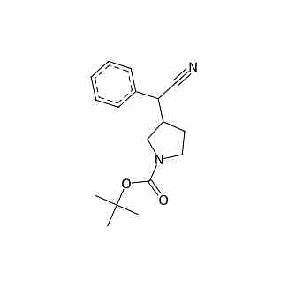 CC(C)(C)OC(=O)N1CCC(C(C#N)c2ccccc2)C1